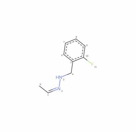 C/C=N\NCc1ccccc1F